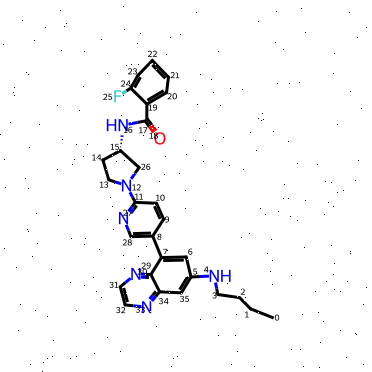 CCCCNc1cc(-c2ccc(N3CC[C@H](NC(=O)c4ccccc4F)C3)nc2)c2nccnc2c1